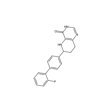 O=c1[nH]cnc2c1NC(c1ccc(-c3ccccc3F)cc1)CC2